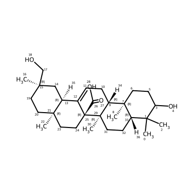 CC1(C)C(O)CC[C@]2(C)[C@H]3CC=C4[C@@H]5C[C@](C)(CO)CC[C@]5(C)CC[C@@]4(C(=O)O)[C@]3(C)CC[C@@H]12